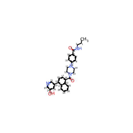 CCCNC(=O)c1ccc(N2CCN(C(=O)c3ccc(-c4cncc(O)c4)c4ccccc34)CC2)cc1